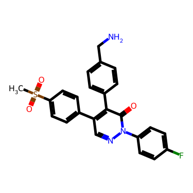 CS(=O)(=O)c1ccc(-c2cnn(-c3ccc(F)cc3)c(=O)c2-c2ccc(CN)cc2)cc1